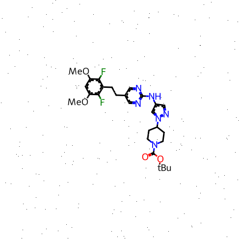 COc1cc(OC)c(F)c(CCc2cnc(Nc3cnn(C4CCN(C(=O)OC(C)(C)C)CC4)c3)nc2)c1F